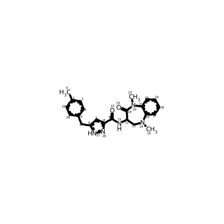 Cc1ccc(Cc2cc(C(=O)NC3CN(C)c4ccccc4N(C)C3=O)n[nH]2)cc1